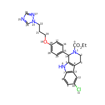 CCOC(=O)N1CCc2c([nH]c3ccc(Cl)cc23)C1c1ccc(OCCCn2cncn2)cc1